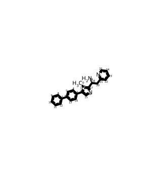 Cn1c(-c2ccc(-c3ccccc3)cc2)cnc1[C@@H](N)Cc1ccccn1